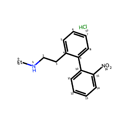 CCNCCc1ccccc1-c1ccccc1[N+](=O)[O-].Cl